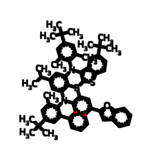 Cc1cc(C(C)(C)C)cc(C)c1N1c2cc(C(C)C)cc3c2B(c2cc(-c4cc5ccccc5o4)ccc2N3c2c(C)cc(C(C)(C)C)cc2-c2ccccc2)c2sc3ccc(C(C)(C)C)cc3c21